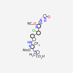 COc1nc(N[C@H]2CCc3c(-c4cccc(-c5ccc(CNC[C@@H]6CCC(=O)N6)c(OCC#N)n5)c4Cl)cccc32)c(C(F)(F)F)cc1CN1CCC[C@@]1(C)C(=O)O